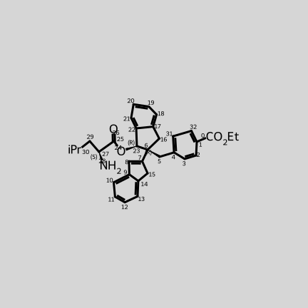 CCOC(=O)c1ccc(C[C@]2(C3=Cc4ccccc4C3)Cc3ccccc3[C@@H]2OC(=O)[C@@H](N)CC(C)C)cc1